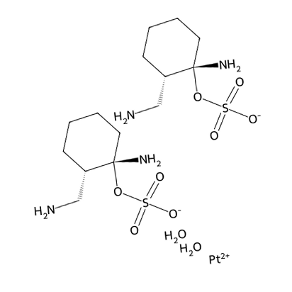 NC[C@@H]1CCCC[C@]1(N)OS(=O)(=O)[O-].NC[C@@H]1CCCC[C@]1(N)OS(=O)(=O)[O-].O.O.[Pt+2]